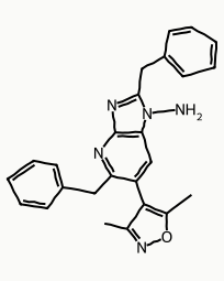 Cc1noc(C)c1-c1cc2c(nc1Cc1ccccc1)nc(Cc1ccccc1)n2N